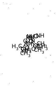 Cc1cc(C)c(CNC(=O)c2cc(C3=CC(C)(C)NC(C)(C)C3)nc(NC3CCNCC3)c2C=N)c(=O)[nH]1